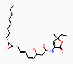 CCCCCCCC[C@H]1O[C@H]1C/C=C/C=C\C(O)CC(=O)NC1=C[C@](C)(CC)OC1=O